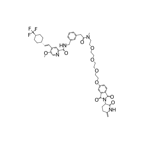 C=C1CCC(N2C(=O)c3ccc(OCCOCCOCCOCCN(C)C(=O)Cc4cccc(CNC(=O)c5cc(/C=C/[C@H]6CC[C@H](C(F)(F)F)CC6)c(OC)cn5)c4)cc3C2=O)C(=O)N1